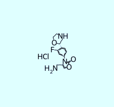 Cl.NCc1coc(=O)n1-c1ccc([C@H]2CNCCO2)c(F)c1